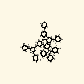 c1ccc(-c2ccc3c(c2)c2cc(-c4ccccc4)ccc2n3-c2ccc(-c3nc(-c4ccccc4)nc(-c4ccccc4)n3)cc2-c2cccc([Si](c3ccccc3)(c3ccccc3)c3ccccc3)c2)cc1